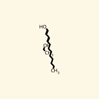 CCCCCCCC/C=C/C=C/O.CCO